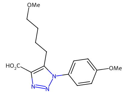 COCCCCc1c(C(=O)O)nnn1-c1ccc(OC)cc1